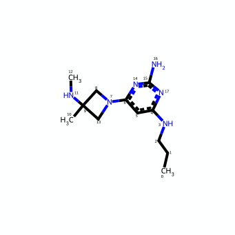 CCCNc1cc(N2CC(C)(NC)C2)nc(N)n1